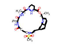 CC(C)[C@@H]1NC(=O)CCCN(S(C)(=O)=O)/C=C/c2ccc3ccc(nc3c2)[C@@H](C)OC(=O)[C@@H]2CCCN(N2)C(=O)[C@H](C)NC1=O